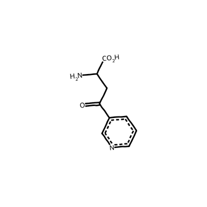 NC(CC(=O)c1cccnc1)C(=O)O